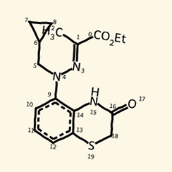 CCOC(=O)/C(C)=N/N(CC1CC1)c1cccc2c1NC(=O)CS2